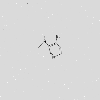 CCc1ccncc1N(C)C